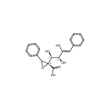 O=C(O)[C@@]1([C@@H](O)[C@H](O)C(O)=Cc2ccccc2)OC1c1ccccc1